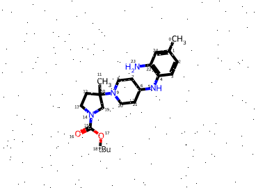 Cc1ccc(NC2CCN(C3(C)CCN(C(=O)OC(C)(C)C)C3)CC2)c(N)c1